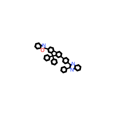 c1ccc(-c2nc3ccccc3nc2-c2ccc(-c3ccc4c(c3)C(c3ccccc3)(c3ccccc3)c3cc(-c5nc6ccccc6o5)ccc3-4)cc2)cc1